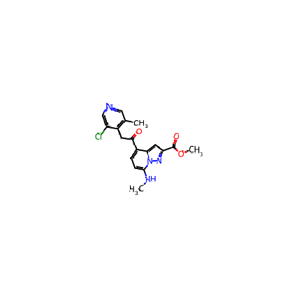 CNc1ccc(C(=O)Cc2c(C)cncc2Cl)c2cc(C(=O)OC)nn12